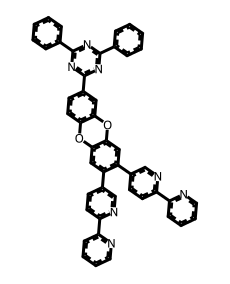 c1ccc(-c2nc(-c3ccccc3)nc(-c3ccc4c(c3)Oc3cc(-c5ccc(-c6ccccn6)nc5)c(-c5ccc(-c6ccccn6)nc5)cc3O4)n2)cc1